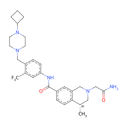 C[C@H]1CN(CC(N)=O)Cc2cc(C(=O)Nc3ccc(CN4CCN(C5CCC5)CC4)c(C(F)(F)F)c3)ccc21